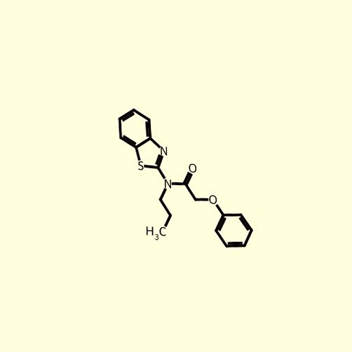 CCCN(C(=O)COc1ccccc1)c1nc2ccccc2s1